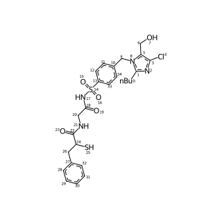 CCCCc1nc(Cl)c(CO)n1Cc1ccc(S(=O)(=O)NC(=O)CNC(=O)C(S)Cc2ccccc2)cc1